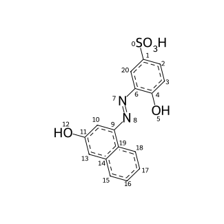 O=S(=O)(O)c1ccc(O)c(N=Nc2cc(O)cc3ccccc23)c1